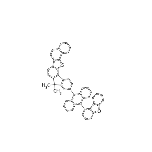 CC1(C)c2cc(-c3c4ccccc4c(-c4cccc5oc6ccccc6c45)c4ccccc34)ccc2-c2c1ccc1c2sc2c3ccccc3ccc12